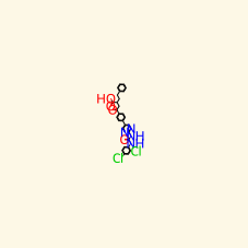 O=C(Nc1ncc(-c2ccc(C(=O)CC(CCc3ccccc3)C(=O)O)cc2)cn1)Nc1ccc(Cl)cc1Cl